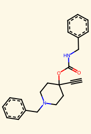 C#CC1(OC(=O)NCc2ccccc2)CCN(Cc2ccccc2)CC1